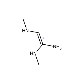 CN/C=C(/N)NC